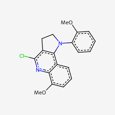 COc1ccccc1N1CCc2c(Cl)nc3c(OC)cccc3c21